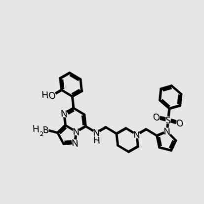 Bc1cnn2c(NCC3CCCN(Cc4cccn4S(=O)(=O)c4ccccc4)C3)cc(-c3ccccc3O)nc12